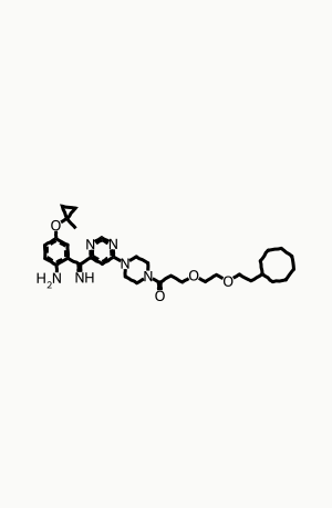 CC1(Oc2ccc(N)c(C(=N)c3cc(N4CCN(C(=O)CCOCCOCCC5CCCCCCC5)CC4)ncn3)c2)CC1